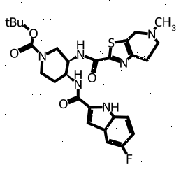 CN1CCc2nc(C(=O)N[C@@H]3CN(C(=O)OC(C)(C)C)CC[C@@H]3NC(=O)C3=CC4C=C(F)C=CC4N3)sc2C1